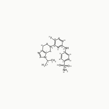 CC(C)n1cnc2c1CN(c1nc(Nc3ccc(S(N)(=O)=O)nc3)ncc1F)CC2